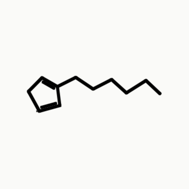 CCCCCCC1=CC[C]=C1